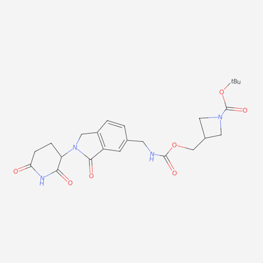 CC(C)(C)OC(=O)N1CC(COC(=O)NCc2ccc3c(c2)C(=O)N(C2CCC(=O)NC2=O)C3)C1